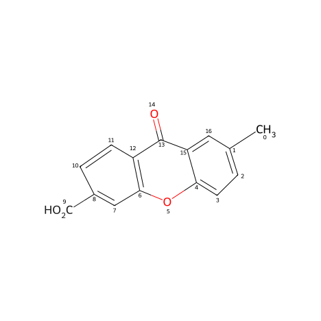 Cc1ccc2oc3cc(C(=O)O)ccc3c(=O)c2c1